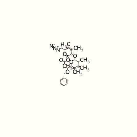 CC(=O)O[C@H]1OC(CN=[N+]=[N-])[C@H](C)[C@H](C)C1OC1OC(COCc2ccccc2)[C@H](C)[C@H](C)C1C